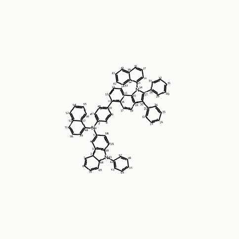 C1=CC2c3cc(N(c4ccc(-c5cccc6c5ccc5c(-c7ccccc7)c(-c7ccccc7)n(-c7cccc8ccccc78)c56)cc4)c4cccc5ccccc45)ccc3N(c3ccccc3)C2C=C1